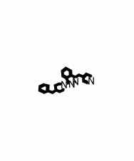 c1ccc(CC2CCN(c3nnc(Cc4ccncc4)c4ccccc34)CC2)cc1